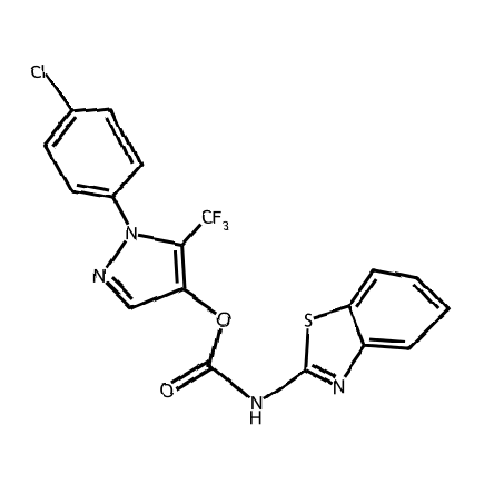 O=C(Nc1nc2ccccc2s1)Oc1cnn(-c2ccc(Cl)cc2)c1C(F)(F)F